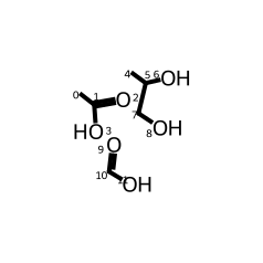 CC(=O)O.CC(O)CO.O=CO